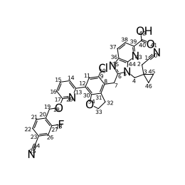 N#CCC1(Cn2c(Cc3c(Cl)cc(-c4cccc(OCc5ccc(C#N)cc5F)n4)c4c3CCO4)nc3ccc(C(=O)O)nc32)CC1